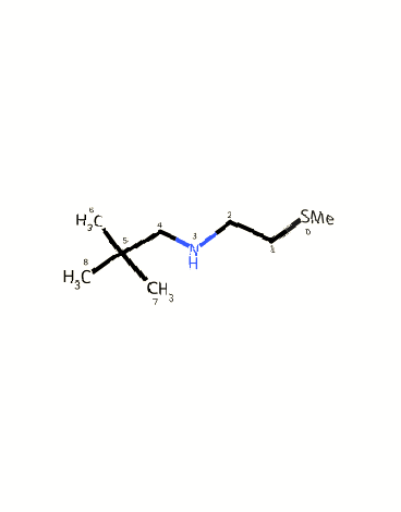 CSCCNCC(C)(C)C